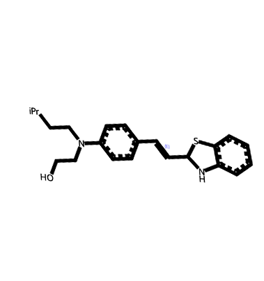 CC(C)CCN(CCO)c1ccc(/C=C/C2Nc3ccccc3S2)cc1